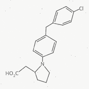 O=C(O)CC1CCCN1c1ccc(Cc2ccc(Cl)cc2)cc1